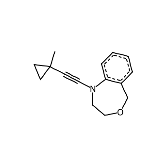 CC1(C#CN2CCOCc3ccccc32)CC1